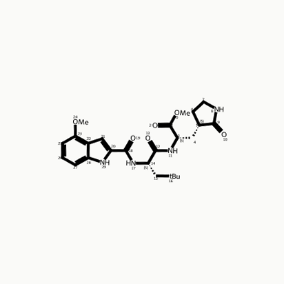 COC(=O)[C@H](C[C@@H]1CCNC1=O)NC(=O)[C@H](CC(C)(C)C)NC(=O)c1cc2c(OC)cccc2[nH]1